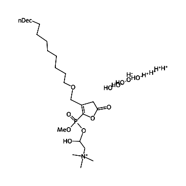 CCCCCCCCCCCCCCCCCCOCC1=C(P(=O)(OC)OC(O)C[N+](C)(C)C)OC(=O)C1.[H+].[H+].[H+].[H+].[OH-].[OH-].[OH-].[OH-].[OH-]